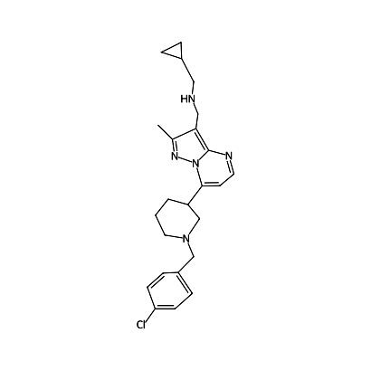 Cc1nn2c(C3CCCN(Cc4ccc(Cl)cc4)C3)ccnc2c1CNCC1CC1